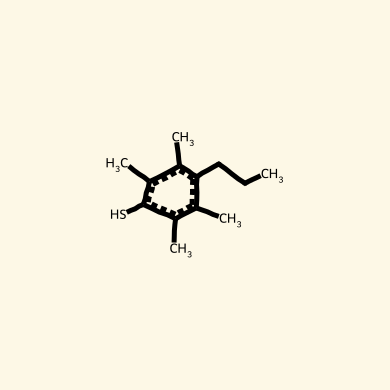 CCCc1c(C)c(C)c(S)c(C)c1C